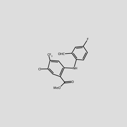 COC(=O)c1cc(Cl)c(C(F)(F)F)cc1Nc1ccc(F)cc1C=O